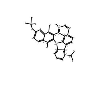 Cc1c2cc(CC(C)(C)C)ccc2c(C)c2c1c1c3c(ccc4c5c(C(C)C)cccc5n2c43)cc[n+]1C